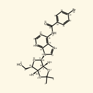 CC1(C)O[C@@H]2[C@H](O1)[C@@H](CO)O[C@H]2n1cnc2c(NC(=O)c3ccc(Br)cc3)ncnc21